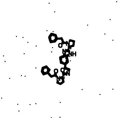 O=C(Cc1ccccc1)N1CCC[C@H]1c1nc2ccc(-c3cnc([C@@H]4CCCN4C(=O)Cc4ccccc4)o3)cc2[nH]1